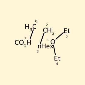 CC(=O)O.CCCCCCC.CCOCC